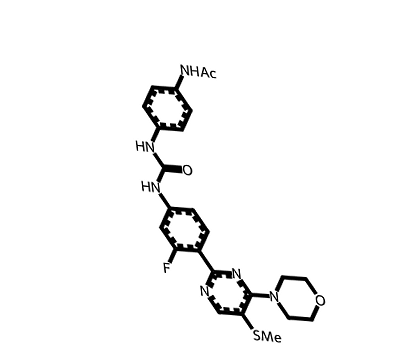 CSc1cnc(-c2ccc(NC(=O)Nc3ccc(NC(C)=O)cc3)cc2F)nc1N1CCOCC1